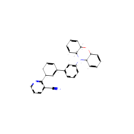 N#Cc1cccnc1C1C=C(c2cccc(N3C4C=CC=CC4O[C@H]4C=CC=C[C@H]43)c2)C=CC1